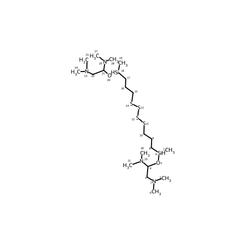 CN(C)CC(O[SiH](C)CCCSSSSCCC[SiH](C)OC(CN(C)C)N(C)C)N(C)C